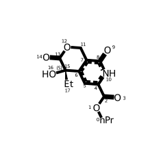 CCCOC(=O)c1cc2c(c(=O)[nH]1)COC(=O)[C@]2(O)CC